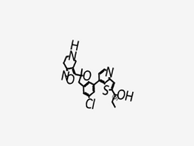 CC[C@H](O)c1cc2nccc(-c3cc(Cl)cc4c3OC(C)(c3onc5c3CNCC5)C4)c2s1